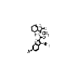 C[C@@](NC(=O)c1oc2cc(Br)ccc2c1N)(C(=O)O)C1CCCCC1